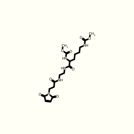 COC(=O)NCCCCC(NC(=O)OC)C(=O)NCCNC(=O)CCN1C(=O)C=CC1=O